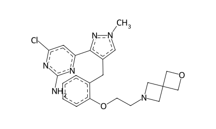 Cn1cc(Cc2ccccc2OCCN2CC3(COC3)C2)c(-c2cc(Cl)nc(N)n2)n1